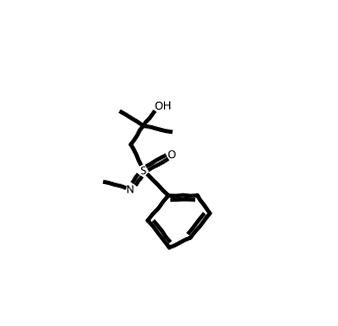 CN=S(=O)(CC(C)(C)O)c1ccccc1